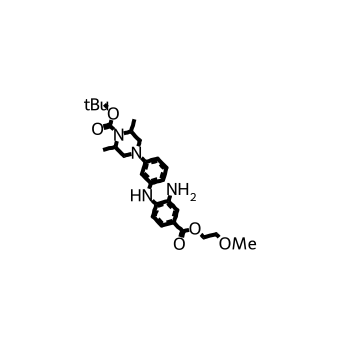 COCCOC(=O)c1ccc(Nc2cccc(N3CC(C)N(C(=O)OC(C)(C)C)C(C)C3)c2)c(N)c1